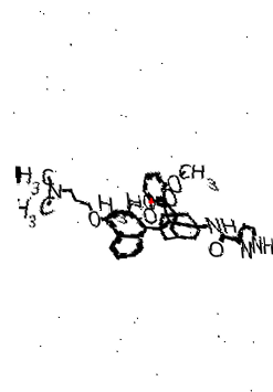 COc1cccc(OC)c1C12CC3CC(NC(=O)c4cc[nH]n4)(C1)C(C(=O)O)C(c1ccc(OCCCN(C)C)c4ccccc14)(C3)C2